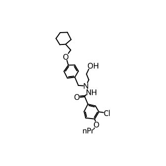 CCCOc1ccc(C(=O)NN(CCO)Cc2ccc(OCC3CCCCC3)cc2)cc1Cl